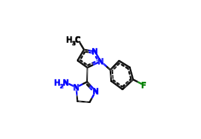 Cc1cc(C2=NCCN2N)n(-c2ccc(F)cc2)n1